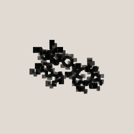 Cc1ncsc1-c1ccc([C@H](C)NC(=O)[C@@H]2C[C@@H](O)CN2C(=O)[C@@H](NC(=O)C2CCCC(n3nc4c(c3C#N)-c3cnc(N)c(c3)O[C@H](C)c3cc(F)ccc3C(=O)N(C)C4)CC2)C(C)(C)C)cc1